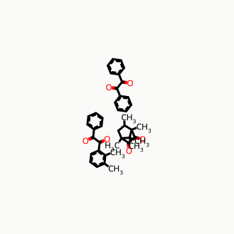 CC1CC2(C)C(=O)C(=O)C1(C)C2(C)C.Cc1cccc(C(=O)C(=O)c2ccccc2)c1C.O=C(C(=O)c1ccccc1)c1ccccc1